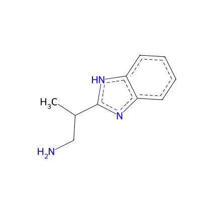 CC(CN)c1nc2ccccc2[nH]1